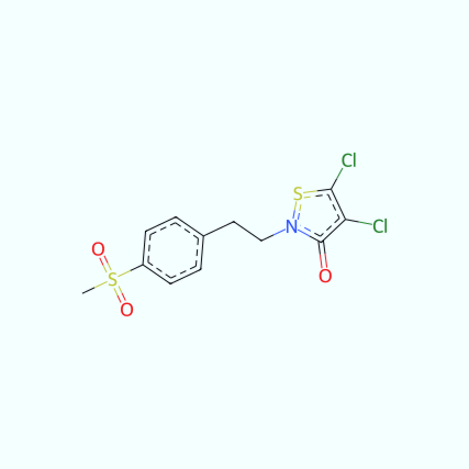 CS(=O)(=O)c1ccc(CCn2sc(Cl)c(Cl)c2=O)cc1